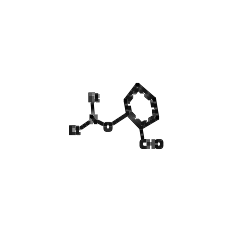 CCN(CC)Oc1ccccc1C=O